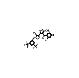 Cc1onc(-c2nnn(Cc3cc(C(F)(F)F)cc(C(F)(F)F)c3)c2Cl)c1C(=O)c1ccc(F)cc1Cl